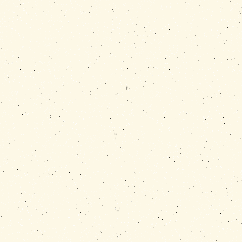 Cc1c(CCN2CCC(C(=O)Nc3ccc4c(c3)COC4=O)CC2)ccc2c1COC2=O